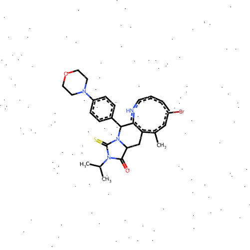 Cc1cc(Br)ccc[nH]c2c1CC1C(=O)N(C(C)C)C(=S)N1C2c1ccc(N2CCOCC2)cc1